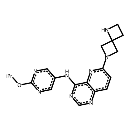 CC(C)Oc1ncc(Nc2ncnc3ccc(N4CC5(CCN5)C4)nc23)cn1